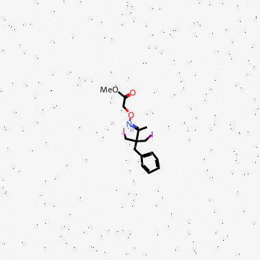 COC(=O)CO/N=C(\C)C(CI)(CI)Cc1ccccc1